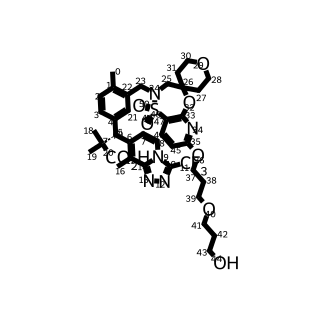 Cc1ccc([C@H](c2ccn3c(C(F)(F)F)nnc3c2C)C(C)(C)C(=O)O)cc1CN1CC2(CCOCC2)Oc2nc(OCCCOCCCO)ccc2S1(=O)=O